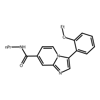 CCCNC(=O)c1ccn2c(-c3ccccc3OCC)cnc2c1